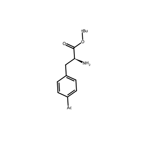 CC(=O)c1ccc(C[C@H](N)C(=O)OC(C)(C)C)cc1